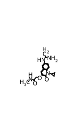 C=C(N)Nc1ccc2c(c1)cc(OCC(=O)NC)c(=O)n2C1CC1